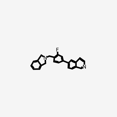 Fc1cc(-c2ccc3cnccc3c2)ccc1CN1Cc2ccccc2C1